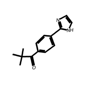 CC(C)(C)C(=O)c1ccc(-c2ncc[nH]2)cc1